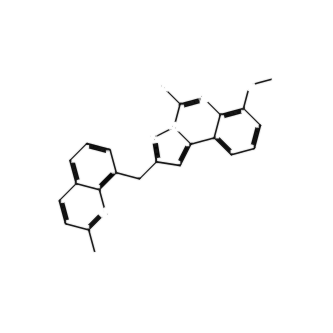 COc1cccc2c1nc(N)n1nc(Cc3cccc4ccc(C)nc34)cc21